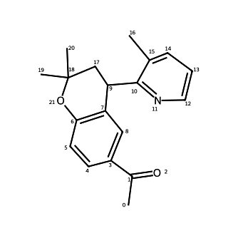 CC(=O)c1ccc2c(c1)C(c1ncccc1C)CC(C)(C)O2